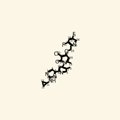 Cc1cnc(-c2ccnc(NC3CC3)n2)cc1-n1c(C)cc(OCc2ncc(F)cc2F)c(Cl)c1=O